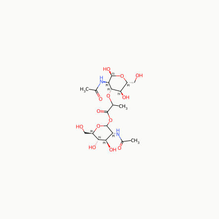 CC(=O)N[C@@H]1[C@@H](OC(C)C(=O)OC2O[C@H](CO)[C@@H](O)[C@H](O)[C@H]2NC(C)=O)[C@H](O)[C@@H](CO)O[C@@H]1O